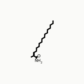 CCCCCCCCCCCCCCC=C(C)C(N)=O